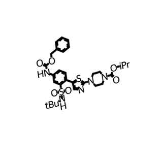 CC(C)OC(=O)N1CCN(c2ncc(-c3ccc(NC(=O)OCc4ccccc4)cc3S(=O)(=O)NC(C)(C)C)s2)CC1